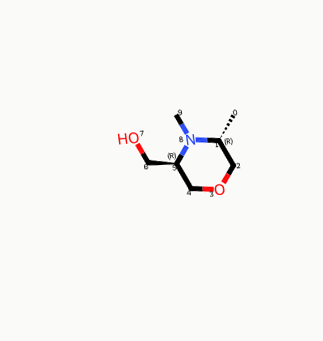 C[C@@H]1COC[C@@H](CO)N1C